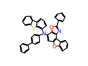 c1ccc(-c2ccc(N(c3cc4oc5ccccc5c4c4nc(-c5ccccc5)oc34)c3cccc4c3sc3ccccc34)cc2)cc1